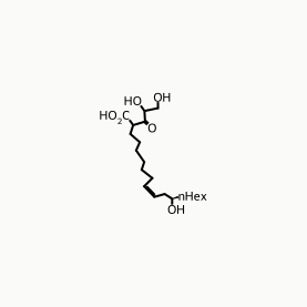 CCCCCC[C@@H](O)C/C=C\CCCCCCC(C(=O)O)C(=O)C(O)CO